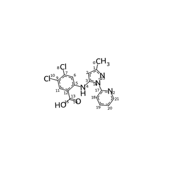 Cc1cc(Nc2cc(Cl)c(Cl)cc2C(=O)O)n(-c2ccccn2)n1